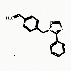 C=Cc1ccc(Cn2ncnc2-c2ccccc2)cc1